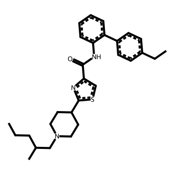 CCCC(C)CN1CCC(c2nc(C(=O)Nc3ccccc3-c3ccc(CC)cc3)cs2)CC1